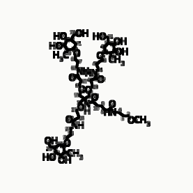 COCCCNC(=O)CCCC(=O)NC(COCCC(=O)NCCCO[C@@H]1CC(CO)[C@H](O)C(O)C1C)(COCCC(=O)NCCCO[C@@H]1CC(CO)[C@H](O)[C@H](O)C1C)COCCC(=O)NCCCO[C@@H]1CC(CO)[C@H](O)[C@H](O)C1C